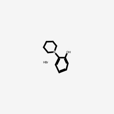 Br.Oc1ccccc1N1CCCCC1